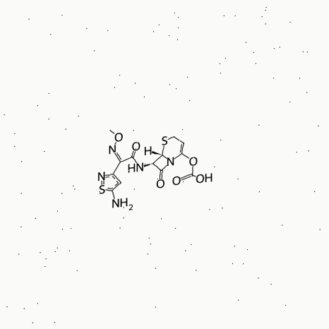 CO/N=C(\C(=O)N[C@@H]1C(=O)N2C(OC(=O)O)=CCS[C@@H]12)c1cc(N)sn1